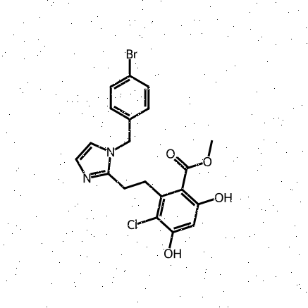 COC(=O)c1c(O)cc(O)c(Cl)c1CCc1nccn1Cc1ccc(Br)cc1